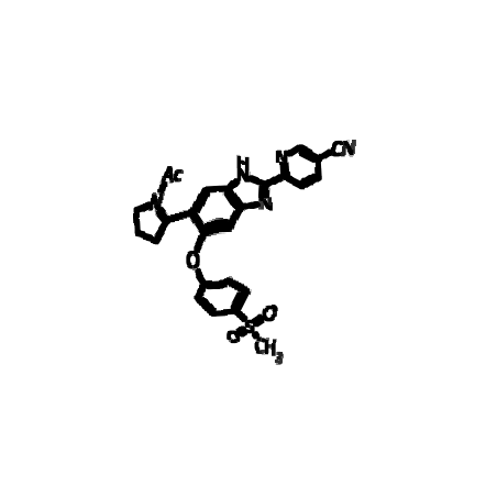 CC(=O)N1CCCC1c1cc2[nH]c(-c3ccc(C#N)cn3)nc2cc1Oc1ccc(S(C)(=O)=O)cc1